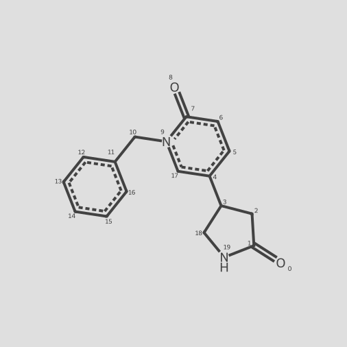 O=C1CC(c2ccc(=O)n(Cc3ccccc3)c2)CN1